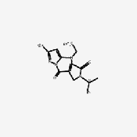 CCOC(=O)Cn1c2c(c(=O)n3nc(C(C)(C)C)cc13)CN([C@@H](C)C(C)C)C2=O